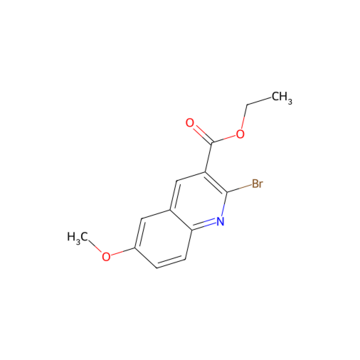 CCOC(=O)c1cc2cc(OC)ccc2nc1Br